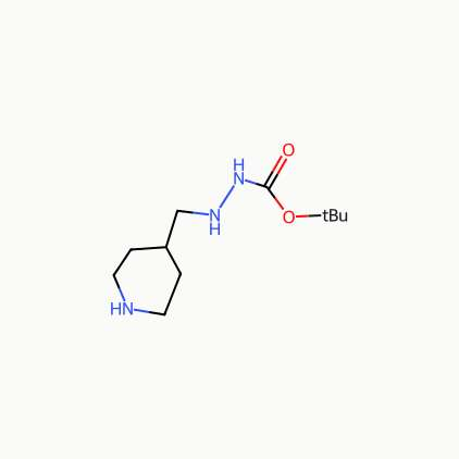 CC(C)(C)OC(=O)NNCC1CCNCC1